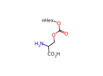 CCCCCCOC(=O)OCC(N)C(=O)O